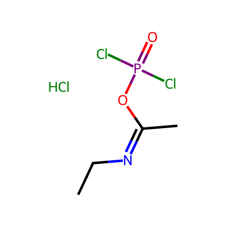 CCN=C(C)OP(=O)(Cl)Cl.Cl